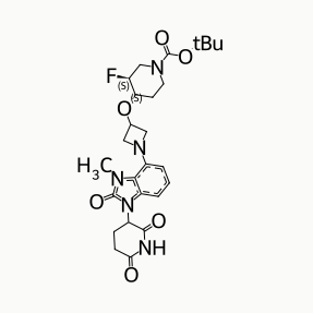 Cn1c(=O)n(C2CCC(=O)NC2=O)c2cccc(N3CC(O[C@H]4CCN(C(=O)OC(C)(C)C)C[C@@H]4F)C3)c21